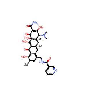 CN(C)[C@@H]1C(O)=C(C(N)=O)C(=O)[C@@]2(O)C(O)=C3C(=O)c4c(O)c(C(C)(C)C)cc(CNC(=O)c5cccnc5)c4C[C@@H]3C[C@@H]12